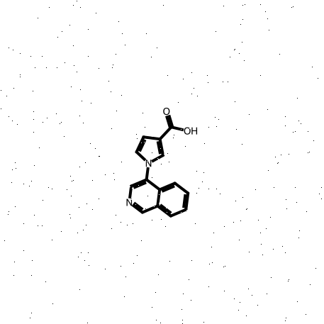 O=C(O)c1ccn(-c2cncc3ccccc23)c1